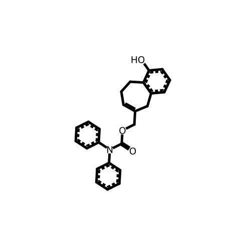 O=C(OCC1=CCCc2c(O)cccc2C1)N(c1ccccc1)c1ccccc1